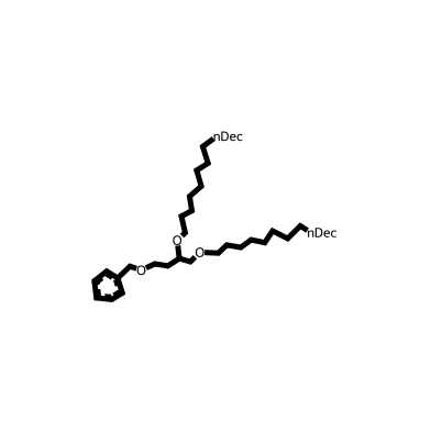 CCCCCCCCCCCCCCCCCCOCC(CCOCc1ccccc1)OCCCCCCCCCCCCCCCCCC